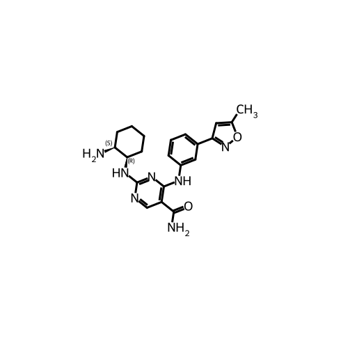 Cc1cc(-c2cccc(Nc3nc(N[C@@H]4CCCC[C@@H]4N)ncc3C(N)=O)c2)no1